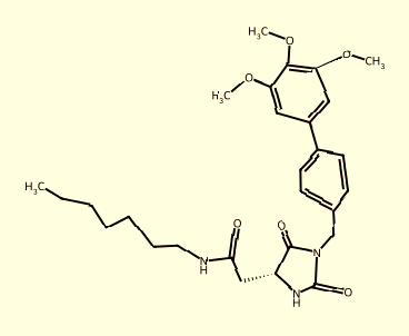 CCCCCCCNC(=O)C[C@H]1NC(=O)N(Cc2ccc(-c3cc(OC)c(OC)c(OC)c3)cc2)C1=O